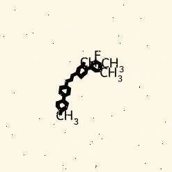 Cc1ccc(-c2ccc(CCCc3ccc(-c4cc(C)c(C)c(F)c4)c(C)c3)cc2)cc1